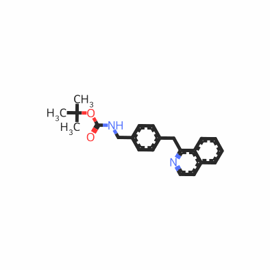 CC(C)(C)OC(=O)NCc1ccc(Cc2nccc3ccccc23)cc1